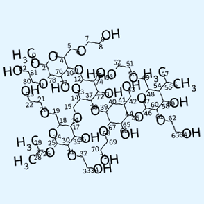 COC1OC(COCCO)C(OC2OC(COC3C(COCCO)OC(OC(C)C)C(OCCO)C3O)C(OC3CC(CO)C(OC4OC(COCCO)C(C(C)C)C(O)C4OCCO)C(O)C3OCCO)C(O)C2O)C(O)C1OCCO